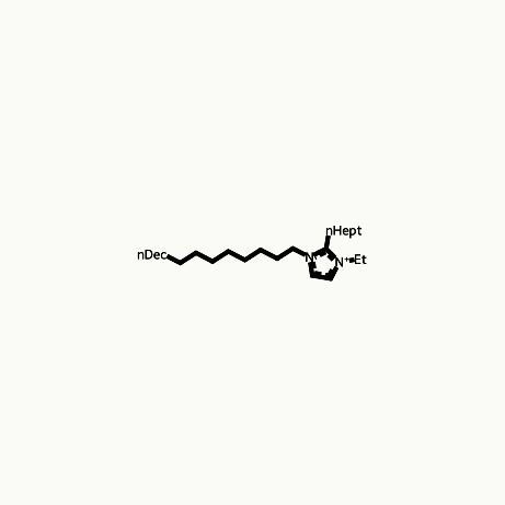 CCCCCCCCCCCCCCCCCCn1cc[n+](CC)c1CCCCCCC